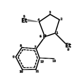 CCC1CC[C@@H](CC)P1c1ccccc1C